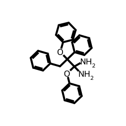 NC(N)(Oc1ccccc1)C(Cc1ccccc1)(Oc1ccccc1)c1ccccc1